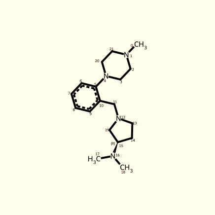 CN1CCN(c2ccccc2CN2CC[C@@H](N(C)C)C2)CC1